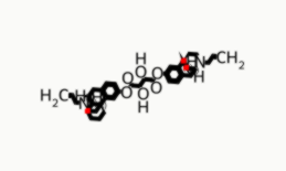 C=CCN1CC[C@]23CCCC[C@H]2[C@H]1Cc1ccc(OC(=O)C(O)C(O)C(=O)Oc2ccc4c(c2)[C@@]25CCCC[C@H]2[C@@H](C4)N(CC=C)CC5)cc13